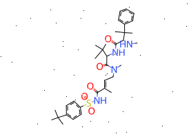 CN[C@H](C(=O)NC(C(=O)N(C)C/C=C(\C)C(=O)NS(=O)(=O)c1ccc(C(C)(C)C)cc1)C(C)(C)C)C(C)(C)c1ccccc1